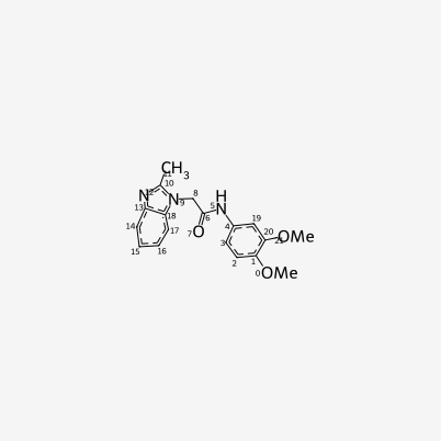 COc1ccc(NC(=O)Cn2c(C)nc3ccccc32)cc1OC